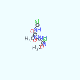 COc1cc(-c2cc(C(=O)N3CC[C@@H](C(=O)NCc4cccc(Cl)c4)C[C@H]3C)n[nH]2)c(Cl)cn1